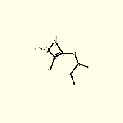 CCC(C)OC1=C(C)[C@H](C)N1